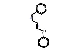 C(=C/c1ccccc1)/C=C/Nc1ccccc1